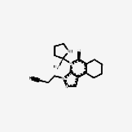 C[C@@]1(n2c(=O)c3c(c4cnn(CCC#N)c42)CCCC3)CCCN1